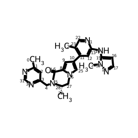 Cc1cc(CN2C(=O)c3cc(-c4cc(Nc5ccnn5C)ncc4C)cn3C[C@@H]2C)ncn1